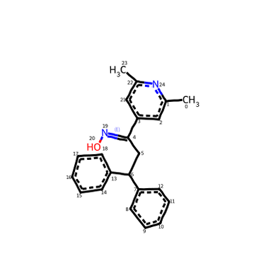 Cc1cc(/C(CC(c2ccccc2)c2ccccc2)=N/O)cc(C)n1